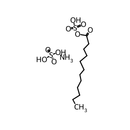 CCCCCCCCCCCC(=O)OS(=O)(=O)O.N.O=S(=O)(O)O